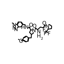 COc1ccc(CC2CC(C(=O)NCC3=CC=C4C(C3)N=NN4C)N(C(=O)C(N)CCC(=O)N3CCCC3C(F)(F)F)C2)cc1